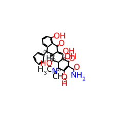 CN(C)[C@@H]1C(O)=C(C(N)=O)C(=O)[C@@]2(O)C(O)=C3C(=O)c4c(O)cccc4[C@H](c4ccccc4)[C@H]3[C@H](O)C12